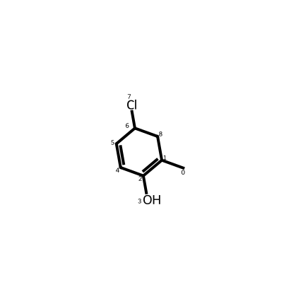 CC1=C(O)C=CC(Cl)C1